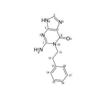 Nc1nc2[nH]cnc2c(=O)n1CCc1ccccc1